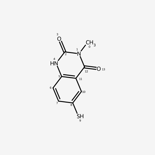 Cn1c(=O)[nH]c2ccc(S)cc2c1=O